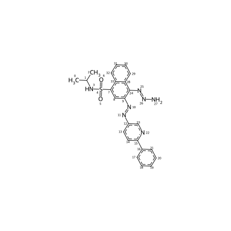 CC(C)NS(=O)(=O)c1cc(/N=N/c2ccc(-c3ccccc3)nc2)c(N=NN)c2ccccc12